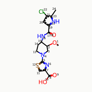 COC1CN(c2nc(C(=O)O)cs2)CCC1NC(=O)c1cc(Cl)c(C)[nH]1